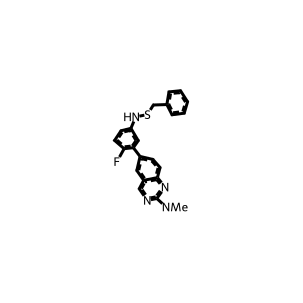 CNc1ncc2cc(-c3cc(NSCc4ccccc4)ccc3F)ccc2n1